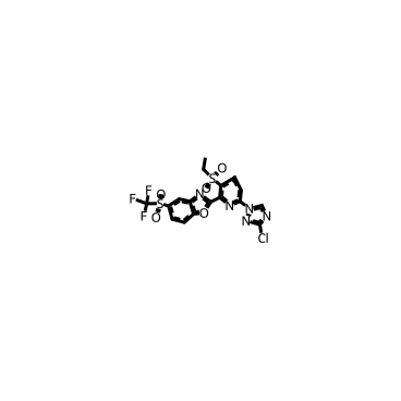 CCS(=O)(=O)c1ccc(-n2cnc(Cl)n2)nc1-c1nc2cc(S(=O)(=O)C(F)(F)F)ccc2o1